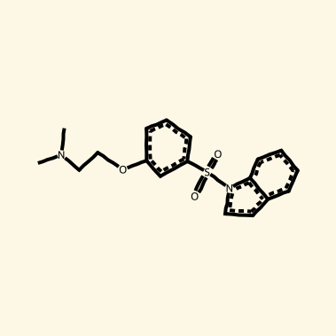 CN(C)CCOc1cccc(S(=O)(=O)n2ccc3ccccc32)c1